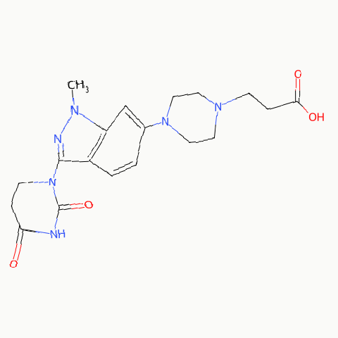 Cn1nc(N2CCC(=O)NC2=O)c2ccc(N3CCN(CCC(=O)O)CC3)cc21